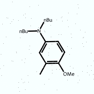 CCCCN(CCCC)c1ccc(OC)c(C)c1